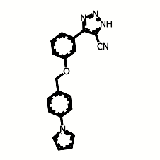 N#Cc1[nH]nnc1-c1cccc(OCc2ccc(-n3cccc3)cc2)c1